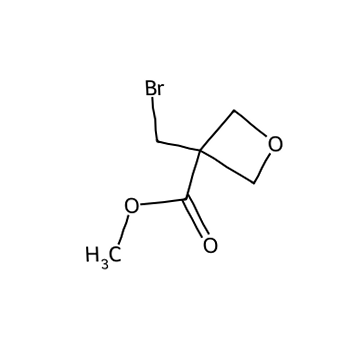 COC(=O)C1(CBr)COC1